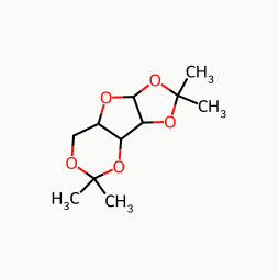 CC1(C)OCC2OC3OC(C)(C)OC3C2O1